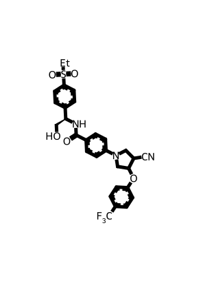 CCS(=O)(=O)c1ccc([C@H](CO)NC(=O)c2ccc(N3CC(C#N)C(Oc4ccc(C(F)(F)F)cc4)C3)cc2)cc1